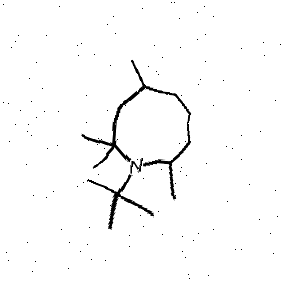 CC1CCCC(C)N(C(C)(C)C)C(C)(C)C1